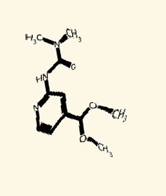 COC(OC)c1ccnc(NC(=O)N(C)C)c1